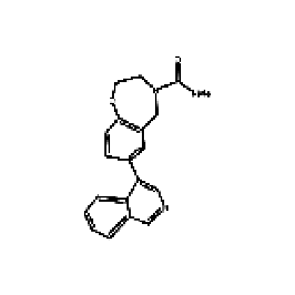 CNC(=O)N1CCOc2ccc(-c3cncc4ccccc34)cc2C1